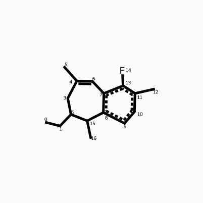 CCC1CC(C)=Cc2c(ccc(C)c2F)C1C